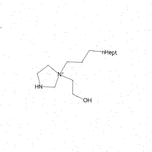 CCCCCCCCCC[N+]1(CCO)CCNC1